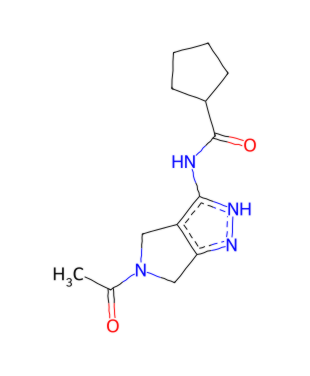 CC(=O)N1Cc2n[nH]c(NC(=O)C3CCCC3)c2C1